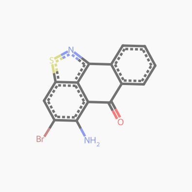 Nc1c(Br)cc2snc3c2c1C(=O)c1ccccc1-3